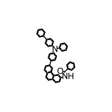 c1ccc(-c2ccc(N(c3ccccc3)c3ccc(-c4ccc5ccc6ccc7c(c6c5c4)OC(c4ccccc4)N7)cc3)cc2)cc1